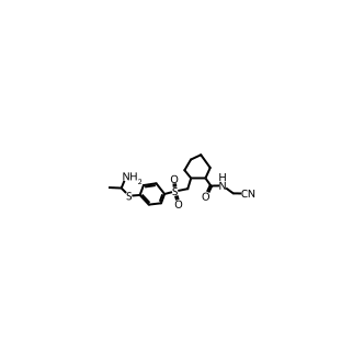 CC(N)Sc1ccc(S(=O)(=O)CC2CCCCC2C(=O)NCC#N)cc1